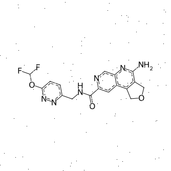 Nc1nc2cnc(C(=O)NCc3ccc(OC(F)F)nn3)cc2c2c1COC2